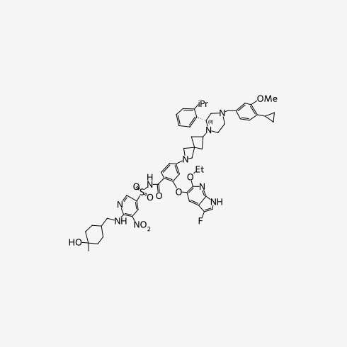 CCOc1nc2[nH]cc(F)c2cc1Oc1cc(N2CC3(CC(N4CCN(Cc5ccc(C6CC6)c(OC)c5)C[C@H]4c4ccccc4C(C)C)C3)C2)ccc1C(=O)NS(=O)(=O)c1cnc(NCC2CCC(C)(O)CC2)c([N+](=O)[O-])c1